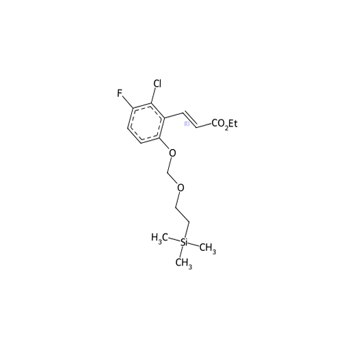 CCOC(=O)/C=C/c1c(OCOCC[Si](C)(C)C)ccc(F)c1Cl